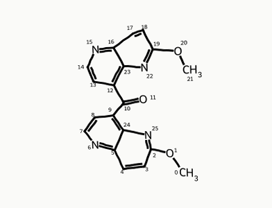 COc1ccc2nccc(C(=O)c3ccnc4ccc(OC)nc34)c2n1